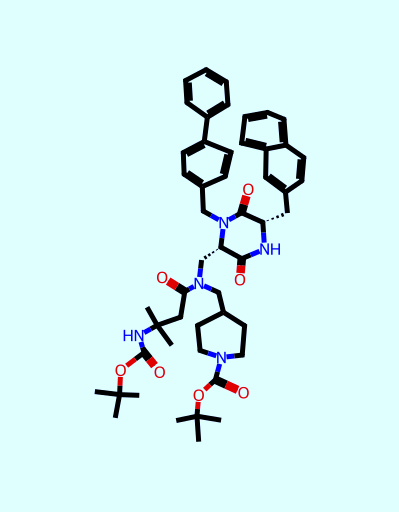 CC(C)(CC(=O)N(CC1CCN(C(=O)OC(C)(C)C)CC1)C[C@H]1C(=O)N[C@@H](Cc2ccc3ccccc3c2)C(=O)N1Cc1ccc(-c2ccccc2)cc1)NC(=O)OC(C)(C)C